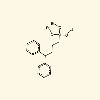 CCO[Si](CCCC(c1ccccc1)c1ccccc1)(OCC)OCC